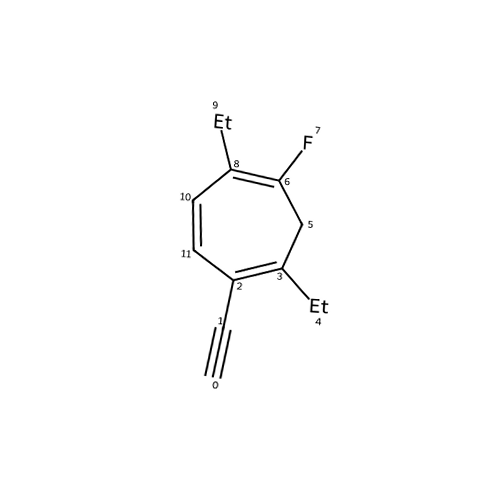 C#CC1=C(CC)CC(F)=C(CC)C=C1